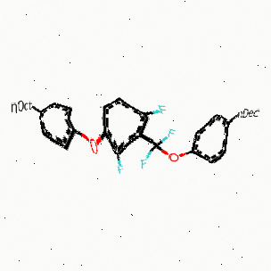 CCCCCCCCCCc1ccc(OC(F)(F)c2c(F)c[c]c(Oc3ccc(CCCCCCCC)cc3)c2F)cc1